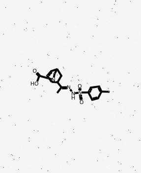 CC(=NNS(=O)(=O)c1ccc(C)cc1)C1CC2C=CC1N(C(=O)O)C2